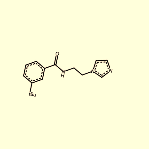 CC(C)(C)c1cccc(C(=O)NCCn2ccnc2)c1